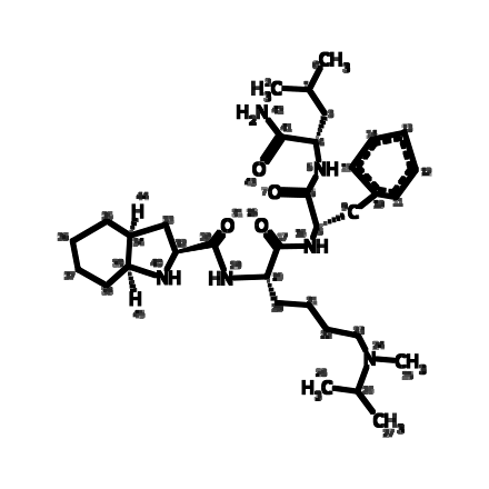 CC(C)C[C@H](NC(=O)[C@H](Cc1ccccc1)NC(=O)[C@H](CCCCN(C)C(C)C)NC(=O)[C@@H]1C[C@@H]2CCCC[C@@H]2N1)C(N)=O